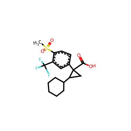 CS(=O)(=O)c1ccc(C2(C(=O)O)CC2C2CCCCC2)cc1C(F)(F)F